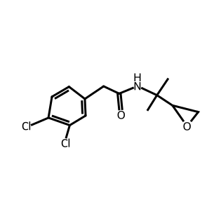 CC(C)(NC(=O)Cc1ccc(Cl)c(Cl)c1)C1CO1